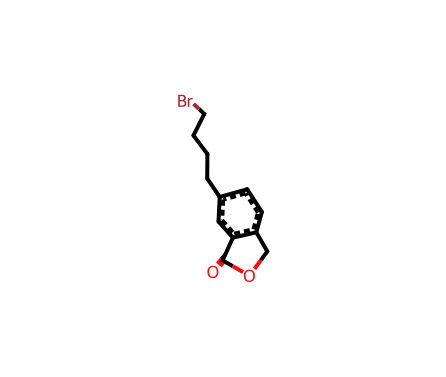 O=C1OCc2ccc(CCCCBr)cc21